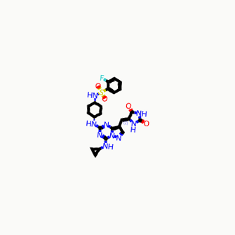 O=C1NC(=O)/C(=C/c2cnn3c(NC4CC4)nc(N[C@H]4CC[C@H](NS(=O)(=O)c5ccccc5F)CC4)nc23)N1